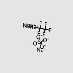 FC(F)(F)C(F)(F)F.[Na+].[Na+].[Na+].[Na+].[O-][Si]([O-])([O-])[O-]